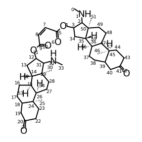 CNC1C(OC(=O)/C=C\C(=O)OC2C[C@H]3[C@@H]4CCC5CC(=O)CC[C@]5(C)[C@@H]4CC[C@]3(C)C2NC)C[C@H]2[C@@H]3CCC4CC(=O)CC[C@]4(C)[C@@H]3CC[C@]12C